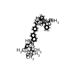 COC(=O)N[C@H](C(=O)N1C2C(C)C2C[C@H]1c1nc2ccc3cc(-c4ccc(-c5cnc([C@@H]6[C@H]7CC[C@H](C7)N6C(=O)[C@H](NC(=O)OC)c6ccccc6)[nH]5)cc4)ccc3c2[nH]1)C(C)C